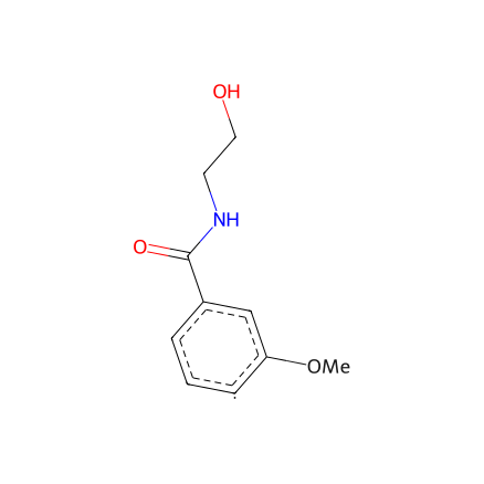 COc1[c]ccc(C(=O)NCCO)c1